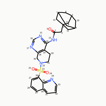 O=C(CC12CC3CC(CC(C3)C1)C2)Nc1ncnc2c1CCN(S(=O)(=O)c1cccc3cccnc13)C2